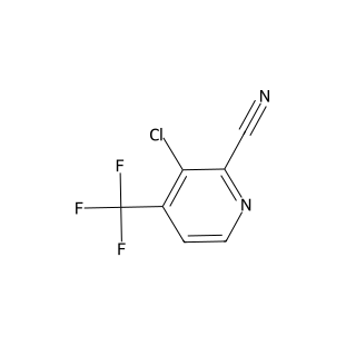 N#Cc1nccc(C(F)(F)F)c1Cl